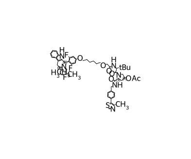 CC(=O)O[C@@H]1C[C@@H](C(=O)NCc2ccc(-c3scnc3C)cc2)N(C(=O)C(NC(=O)COCCCCCCOc2cc(F)c([C@@H]3c4[nH]c5ccccc5c4C[C@@H](C)N3CC(C)(C)F)c(F)c2)C(C)(C)C)C1